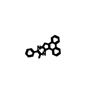 Cc1nc2c(nc1-c1ccccc1)Cc1c-2c2ccccc2c2ccccc12